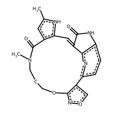 Cc1cc2c([nH]1)/C=C1\C(=O)Nc3ccc(nc31)-c1conc1OCCCN(C)C2=O